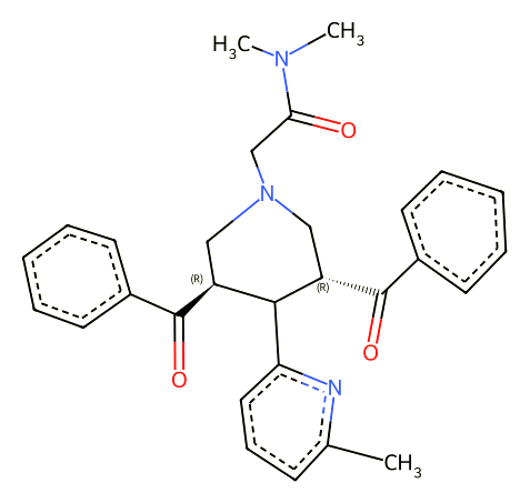 Cc1cccc(C2[C@@H](C(=O)c3ccccc3)CN(CC(=O)N(C)C)C[C@@H]2C(=O)c2ccccc2)n1